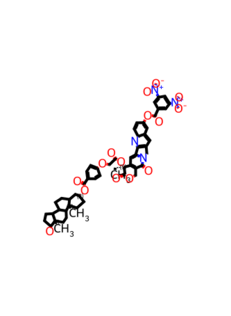 CC[C@@]1(OC(=O)COc2ccc(C(=O)O[C@@H]3CC[C@@]4(C)C(CCC5C4CC[C@]4(C)C(=O)CCC54)C3)cc2)C(=O)OCc2c1cc1n(c2=O)Cc2cc3cc(OC(=O)c4cc([N+](=O)[O-])cc([N+](=O)[O-])c4)ccc3nc2-1